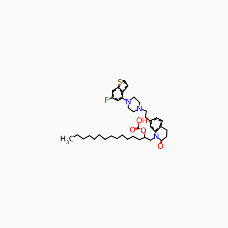 CCCCCCCCCCCCCC(CN1C(=O)CCc2ccc(CCN3CCN(c4cc(F)cc5sccc45)CC3)cc21)OC(=O)O